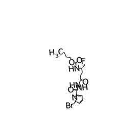 CCCCOC(=O)N[C@@H](CF)CCC(=O)NNC(=O)c1cccc(Br)n1